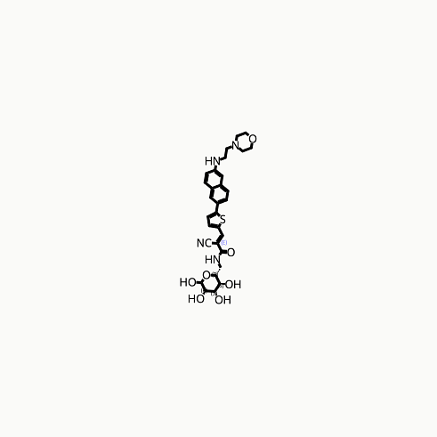 N#C/C(=C\c1ccc(-c2ccc3cc(NCCN4CCOCC4)ccc3c2)s1)C(=O)NC[C@H]1OC(O)[C@H](O)[C@@H](O)[C@@H]1O